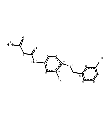 NC(=O)CC(=O)Nc1ccc(OCc2cccc(F)c2)c(F)c1